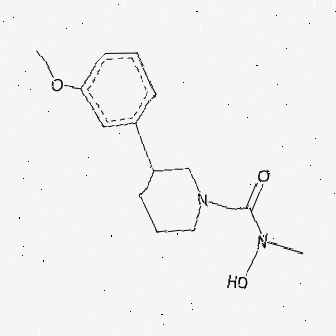 COc1cccc(C2CCCN(C(=O)N(C)O)C2)c1